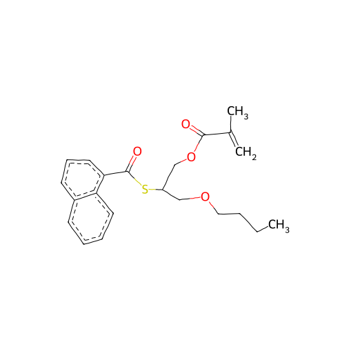 C=C(C)C(=O)OCC(COCCCC)SC(=O)c1cccc2ccccc12